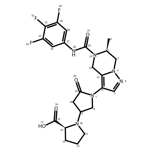 C[C@H]1Cn2ncc(N3CC(N4CCC[C@H]4C(=O)O)CC3=O)c2CN1C(=O)Nc1cc(F)c(F)c(F)c1